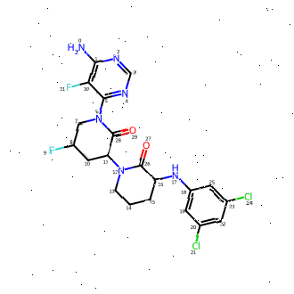 Nc1ncnc(N2CC(F)CC(N3CCCC(Nc4cc(Cl)cc(Cl)c4)C3=O)C2=O)c1F